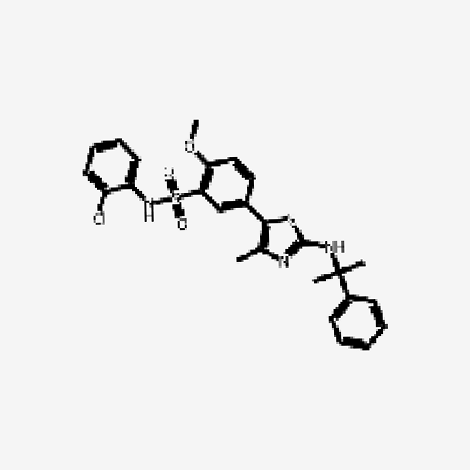 COc1ccc(-c2sc(NC(C)(C)c3ccccc3)nc2C)cc1S(=O)(=O)Nc1ccccc1Cl